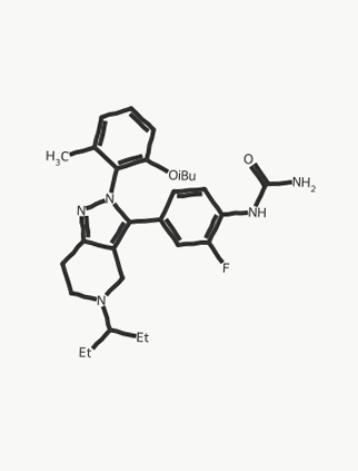 CCC(CC)N1CCc2nn(-c3c(C)cccc3OCC(C)C)c(-c3ccc(NC(N)=O)c(F)c3)c2C1